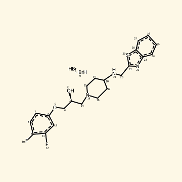 Br.Br.O[C@H](COc1ccc(F)c(F)c1)CN1CCC(NCc2nc3ccccc3s2)CC1